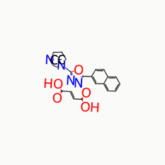 O=C(O)/C=C/C(=O)O.c1ccc2cc(-c3nnc(N4CCN5CCC4CC5)o3)ccc2c1